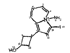 N[N+]12C=CN=CC1=C(C1CC(O)C1)N=C2I